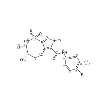 CC[C@H]1COc2c(cn(C)c2C(=O)Nc2ccc(F)c(C(F)(F)F)c2)S(=O)(=O)N[C@H]1CC